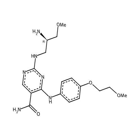 COCCOc1ccc(Nc2nc(NC[C@@H](N)COC)ncc2C(N)=O)cc1